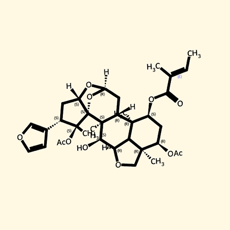 C/C=C(\C)C(=O)O[C@H]1C[C@@H](OC(C)=O)[C@@]2(C)CO[C@@H]3C2[C@@]1(C)[C@H]1C[C@@H]2O[C@H]4C[C@@H](c5ccoc5)[C@](C)(OC(C)=O)[C@]4(O2)[C@]1(C)[C@@H]3O